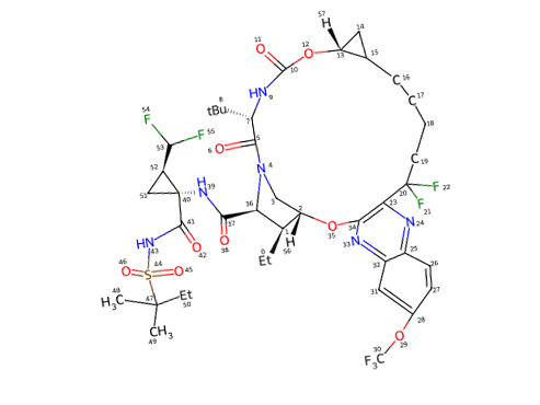 CC[C@@H]1[C@@H]2CN(C(=O)[C@H](C(C)(C)C)NC(=O)O[C@@H]3CC3CCCCC(F)(F)c3nc4ccc(OC(F)(F)F)cc4nc3O2)[C@@H]1C(=O)N[C@]1(C(=O)NS(=O)(=O)C(C)(C)CC)C[C@H]1C(F)F